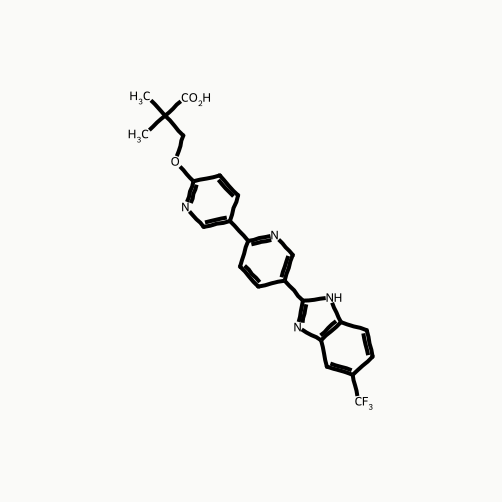 CC(C)(COc1ccc(-c2ccc(-c3nc4cc(C(F)(F)F)ccc4[nH]3)cn2)cn1)C(=O)O